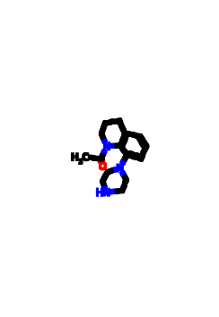 CC(=O)N1CCCc2cccc(N3CCNCC3)c21